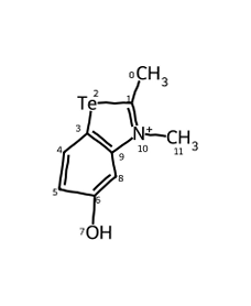 Cc1[te]c2ccc(O)cc2[n+]1C